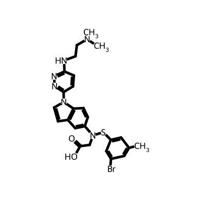 Cc1cc(Br)cc(SN(CC(=O)O)c2ccc3c(ccn3-c3ccc(NCCN(C)C)nn3)c2)c1